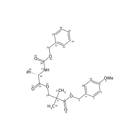 COc1ccc(COC(=O)C(C)(C)COC(=O)[C@@H](NC(=O)OCc2ccccc2)C(C)C)cc1